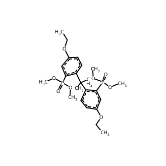 CCOc1ccc(C(C)(C)c2ccc(OCC)cc2P(=O)(OC)OC)c(P(=O)(OC)OC)c1